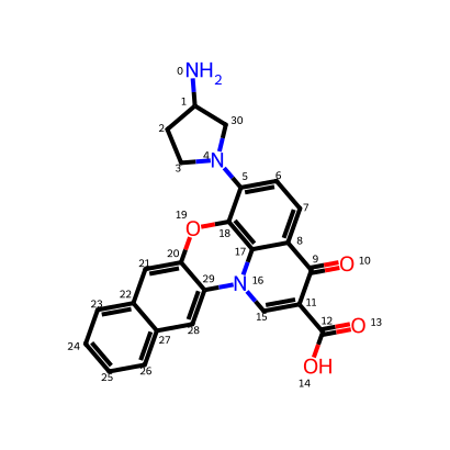 NC1CCN(c2ccc3c(=O)c(C(=O)O)cn4c3c2Oc2cc3ccccc3cc2-4)C1